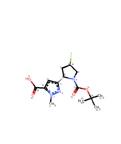 Cn1nc([C@@H]2C[C@@H](F)CN2C(=O)OC(C)(C)C)cc1C(=O)O